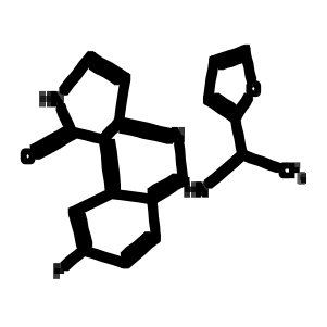 O=c1[nH]ccc2nc(NC(c3ccco3)C(F)(F)F)c3ccc(F)cc3c12